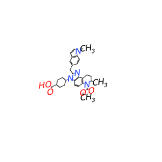 COC(=O)N1c2ccc3c(nc(Cc4ccc5c(ccn5C)c4)n3C3CCC(C(=O)O)CC3)c2CCC1C